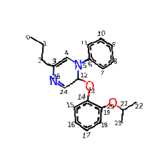 CCCC1=CN(c2ccccc2)C(Oc2ccccc2OC(C)C)C=N1